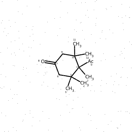 CC(=O)C1(C)C(C)(C)CC(=O)CC1(C)C